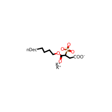 CCCCCCCCCCCCCCOC(=O)C(CC(=O)[O-])S(=O)(=O)[O-].[K+].[K+]